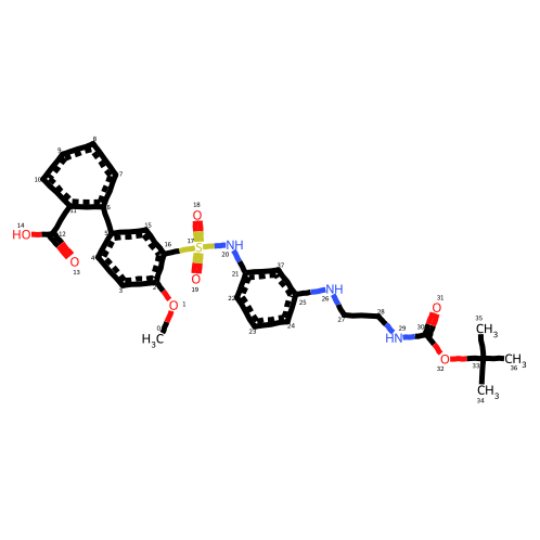 COc1ccc(-c2ccccc2C(=O)O)cc1S(=O)(=O)Nc1cccc(NCCNC(=O)OC(C)(C)C)c1